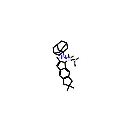 CC1=Cc2cc3c(cc2[CH]1[Ti]([CH3])([CH3])([NH]C12CC4CC(CC(C4)C1)C2)=[Si](C)C)CC(C)(C)C3